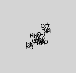 CC(NCCCC[C@H](NC(=O)[C@@H](CCCNC(=O)OC(C)(C)C)NC(=O)[C@@H](CC(C)C)NC(=O)OC(C)(C)C)C(=O)O)=C1C(=O)CC(C)(C)CC1=O